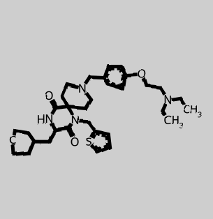 CCN(CC)CCOc1ccc(CN2CCC3(CC2)C(=O)NC(CC2CCCCC2)C(=O)N3Cc2cccs2)cc1